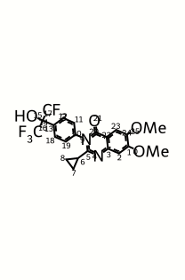 COc1cc2nc(C3CC3)n(-c3ccc(C(O)(C(F)(F)F)C(F)(F)F)cc3)c(=O)c2cc1OC